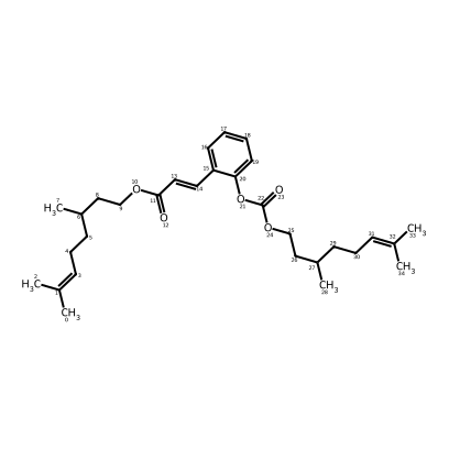 CC(C)=CCCC(C)CCOC(=O)/C=C/c1ccccc1OC(=O)OCCC(C)CCC=C(C)C